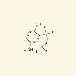 CNc1ccc(O)c(C(F)(F)F)c1C(F)(F)F